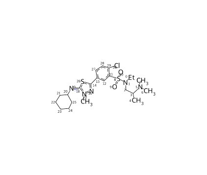 CCN(CC(C)N(C)C)S(=O)(=O)c1cc(-c2nn(C)/c(=N\C3CCCCC3)s2)ccc1Cl